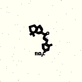 CCOC(=O)c1ccc(/C=C/C(=O)c2ccc3c(c2)C(C)(C)CCC3)c(C)c1